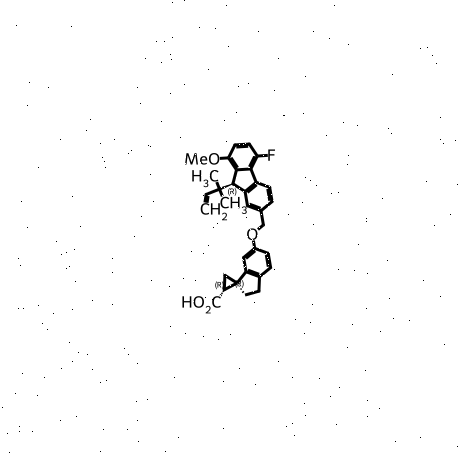 C=CC(C)(C)[C@@H]1c2cc(COc3ccc4c(c3)[C@]3(CC4)C[C@H]3C(=O)O)ccc2-c2c(F)ccc(OC)c21